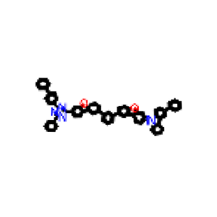 c1ccc(-c2ccc(-c3nc(-c4ccccc4)nc(-c4ccc5c(c4)oc4ccc(-c6cccc(-c7ccc8oc9cc(-n%10c%11ccccc%11c%11cc(-c%12ccccc%12)ccc%11%10)ccc9c8c7)c6)cc45)n3)cc2)cc1